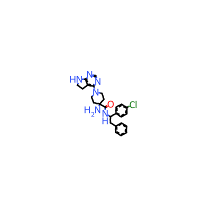 NC1(C(=O)NC(Cc2ccccc2)c2ccc(Cl)cc2)CCN(c2ncnc3c2CCN3)CC1